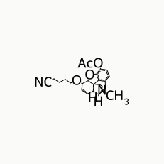 CC(=O)Oc1ccc2c3c1OC1C(OCCCCC#N)C=C[C@H]4[C@@H](C2)N(C)CC[C@]314